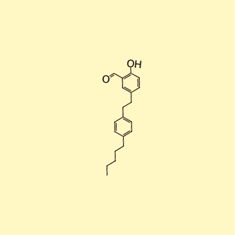 CCCCCc1ccc(CCc2ccc(O)c(C=O)c2)cc1